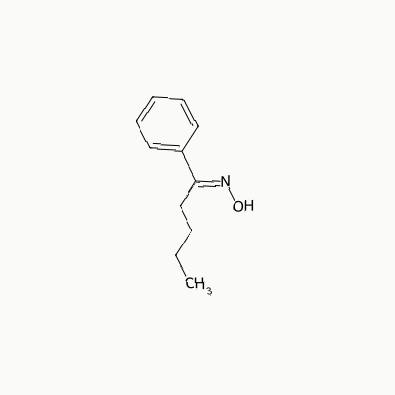 CCCCC(=NO)c1ccccc1